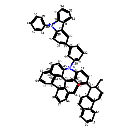 CC1C=Cc2c(ccc3ccccc23)C1c1ccc(N(c2cccc(-c3ccc4c(c3)c3ccccc3n4-c3ccccc3)c2)c2ccccc2-c2cccc3cccc(-c4ccccc4)c23)cc1